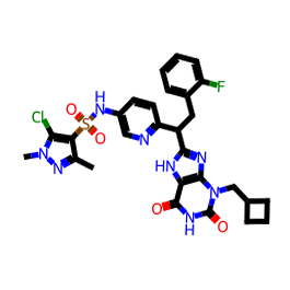 Cc1nn(C)c(Cl)c1S(=O)(=O)Nc1ccc(C(Cc2ccccc2F)c2nc3c([nH]2)c(=O)[nH]c(=O)n3CC2CCC2)nc1